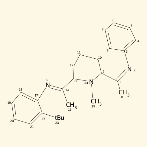 CC(=Nc1ccccc1)C1CCCC(/C(C)=N/c2ccccc2C(C)(C)C)N1C